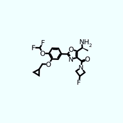 C[C@H](N)c1oc(-c2ccc(OC(F)F)c(OCC3CC3)c2)nc1C(=O)N1CC(F)C1